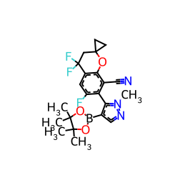 Cn1ncc(B2OC(C)(C)C(C)(C)O2)c1-c1c(F)cc2c(c1C#N)OC1(CC1)CC2(F)F